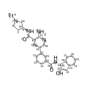 CCN1CC[C@H](NC(=O)c2nc(-c3cccc(C(=O)N[C@H]4C(O)=Cc5ccccc54)c3)cnc2N)C1